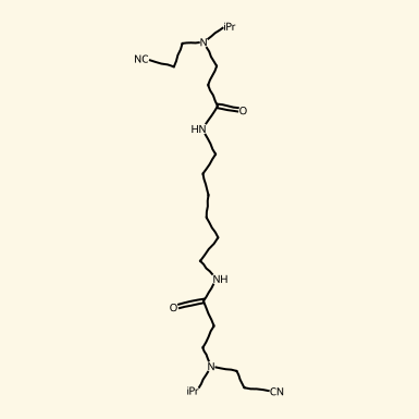 CC(C)N(CCC#N)CCC(=O)NCCCCCCNC(=O)CCN(CCC#N)C(C)C